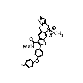 CNC(=O)c1c(-c2ccc(Oc3ccc(F)cc3)cc2)oc2cc3c(cc12)Cn1nncc1CN3S(C)(=O)=O